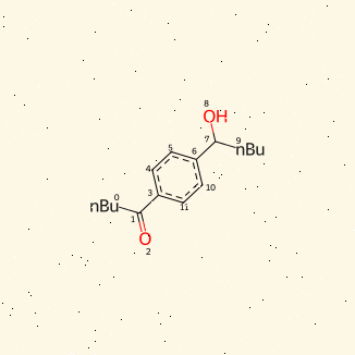 CCCCC(=O)c1ccc(C(O)CCCC)cc1